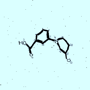 O=C(O)c1cccc(N2CCC(Cl)C2)c1